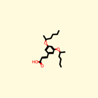 CCCCC(C)Oc1cc(C=CC(=O)O)cc(OC(C)CCCC)c1